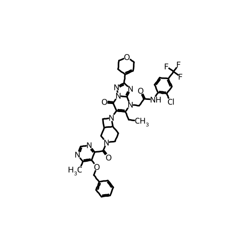 CCc1c(N2CC3CN(C(=O)c4ncnc(C)c4OCc4ccccc4)CCC32)c(=O)n2nc(C3=CCOCC3)nc2n1CC(=O)Nc1ccc(C(F)(F)F)cc1Cl